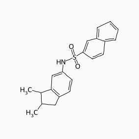 CC1Cc2ccc(NS(=O)(=O)c3ccc4ccccc4c3)cc2C1C